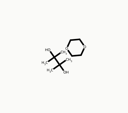 C1COCCO1.CC(C)(O)C(C)(C)O